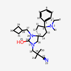 CCN(C)[C@]1(c2ccccc2)CC[C@]2(CC1)CN(CC(C)(C)C#N)C(O)N2CC1CCC1